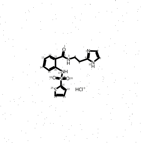 Cl.O=C(NCCc1ncc[nH]1)c1ccccc1NS(=O)(=O)c1cccs1